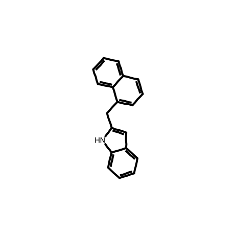 c1ccc2[nH]c(Cc3cccc4ccccc34)cc2c1